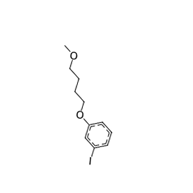 COCCCCOc1cccc(I)c1